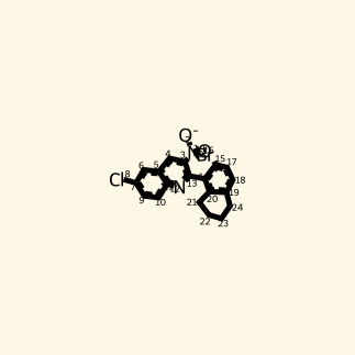 O=[N+]([O-])c1cc2cc(Cl)ccc2nc1-c1c(Br)ccc2c1CCCC2